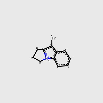 CC(C)c1c2n(c3ccccc13)CCC2